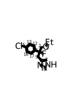 CCOCC(F)(Cc1c[nH]nn1)c1ccc(Cl)cc1